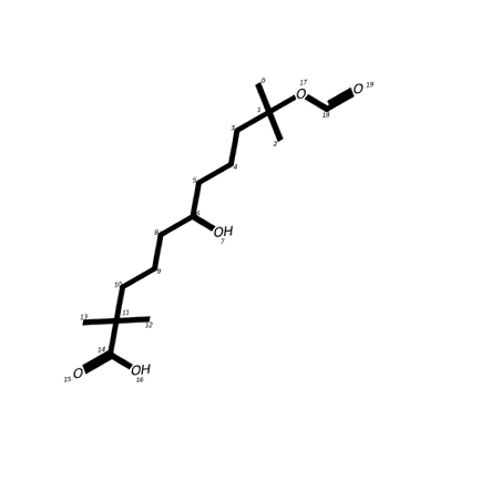 CC(C)(CCCC(O)CCCC(C)(C)C(=O)O)OC=O